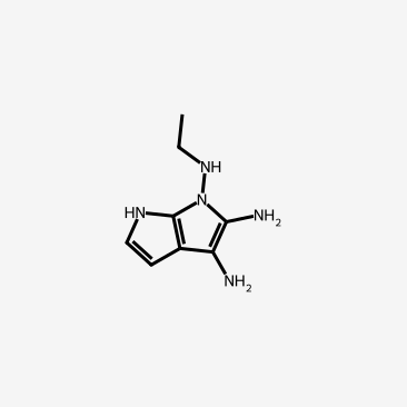 CCNn1c(N)c(N)c2cc[nH]c21